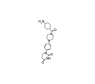 NC1CCC(C(=O)N2CCN(c3ccc(N4CCC(=O)NC4=O)cc3)CC2)CC1